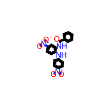 O=C(Nc1cc([N+](=O)[O-])ccc1Nc1ccc([N+](=O)[O-])cc1)c1ccccc1